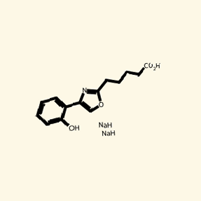 O=C(O)CCCCc1nc(-c2ccccc2O)co1.[NaH].[NaH]